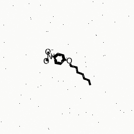 CCCCCCCOc1ccc([N+](=O)[O-])cc1